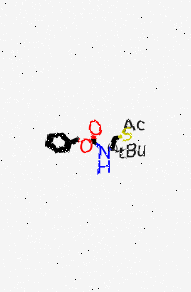 CC(=O)SC[C@@H](NC(=O)OCc1ccccc1)C(C)(C)C